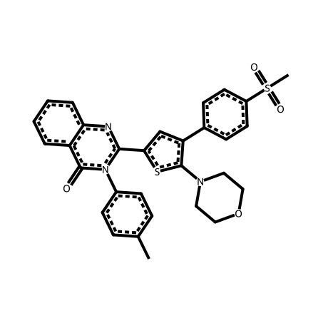 Cc1ccc(-n2c(-c3cc(-c4ccc(S(C)(=O)=O)cc4)c(N4CCOCC4)s3)nc3ccccc3c2=O)cc1